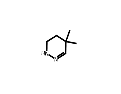 CC1(C)C=NNCC1